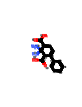 NC1(N)C(C(=O)O)=CC=C(c2ccccc2)C1C(=O)O